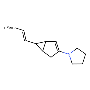 CCCCCC=CC1C2C=C(N3CCCC3)CC12